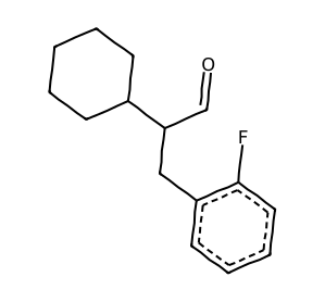 O=CC(Cc1ccccc1F)C1CCCCC1